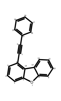 C(#Cc1cccc2oc3ccccc3c12)c1[c]cccc1